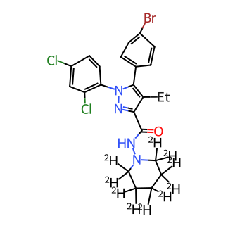 [2H]C1([2H])N(NC(=O)c2nn(-c3ccc(Cl)cc3Cl)c(-c3ccc(Br)cc3)c2CC)C([2H])([2H])C([2H])([2H])C([2H])([2H])C1([2H])[2H]